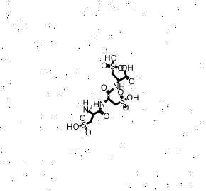 NC(CS(=O)(=O)O)C(=O)NC(CS(=O)(=O)O)C(=O)NC(CS(=O)(=O)O)C(=O)O